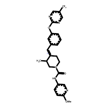 COc1ccc(NC(=O)N2CC/C(=C\c3cccc(Oc4ncc(C(F)(F)F)cn4)c3)C(C)C2)cn1